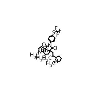 CC(CC1(CC(C)C2CCCN2C)NC(=O)N(c2ccc(SC(F)(F)F)cc2)C1=O)C1CCCN1C